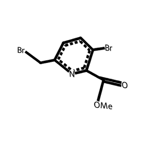 COC(=O)c1nc(CBr)ccc1Br